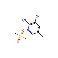 CS(C)(=O)=O.Cc1cnc(N)c(C#N)c1